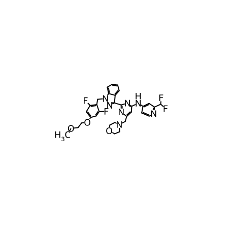 COCCOc1cc(F)c(Cn2nc(-c3nc(CN4CCOCC4)cc(Nc4ccnc(C(F)F)c4)n3)c3ccccc32)c(F)c1